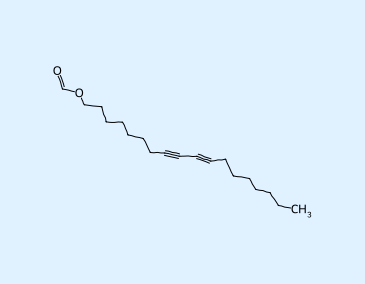 CCCCCCCC#CC#CCCCCCCCOC=O